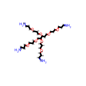 NCCCOCCCOCCC(OCCCOCCCN)C(COCCCOCCCN)OCCCOCCCN